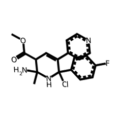 COC(=O)C1C=C(c2ccncc2)C(Cl)(c2ccc(F)cc2)NC1(C)N